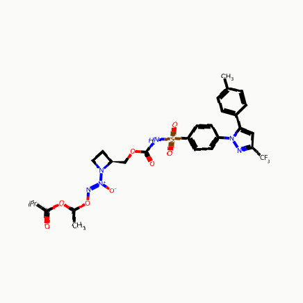 Cc1ccc(-c2cc(C(F)(F)F)nn2-c2ccc(S(=O)(=O)NC(=O)OC[C@@H]3CCN3/[N+]([O-])=N/OC(C)OC(=O)C(C)C)cc2)cc1